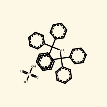 [O]=[Cr](=[O])([OH])[OH].c1ccc(C([SiH2]C(c2ccccc2)(c2ccccc2)c2ccccc2)(c2ccccc2)c2ccccc2)cc1